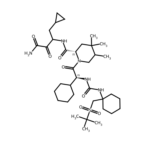 CC1CN(C(=O)[C@@H](NC(=O)NC2(CS(=O)(=O)C(C)(C)C)CCCCC2)C2CCCCC2)[C@H](C(=O)NC(CC2CC2)C(=O)C(N)=O)CC1(C)C